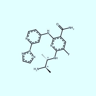 C[C@H](Nc1nc(Nc2ccnc(-n3nccn3)c2)c(C(N)=O)cc1F)[C@@H](C)N